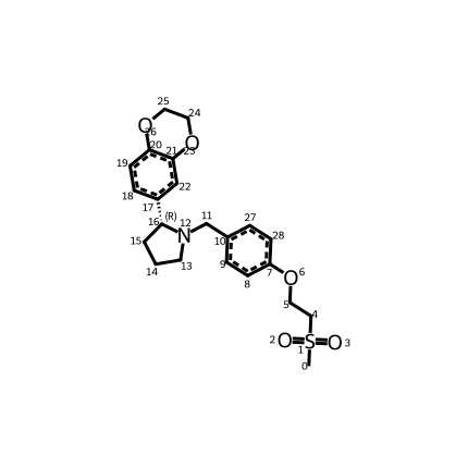 CS(=O)(=O)CCOc1ccc(CN2CCC[C@@H]2c2ccc3c(c2)OCCO3)cc1